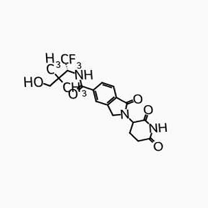 CC(C)(CO)[C@@H](NC(=O)c1ccc2c(c1)CN(C1CCC(=O)NC1=O)C2=O)C(F)(F)F